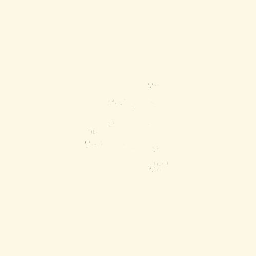 CCCCOc1c2ccc(OC)c(OC)c2c(OCCCC)c2c(OC)ccc(OC)c12